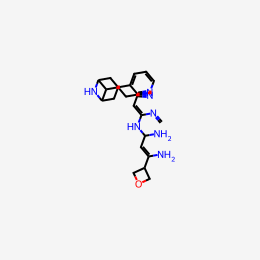 C=N/C(=C\c1ncccc1C1CC2NC(C1)C2CCC#N)NC(N)/C=C(\N)C1COC1